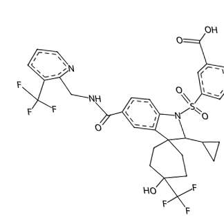 O=C(O)c1cccc(S(=O)(=O)N2c3ccc(C(=O)NCc4ncccc4C(F)(F)F)cc3C3(CCC(O)(C(F)(F)F)CC3)C2C2CC2)c1